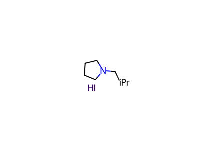 CC(C)CN1CCCC1.I